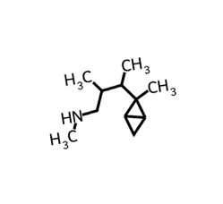 CNCC(C)C(C)C1(C)C2CC21